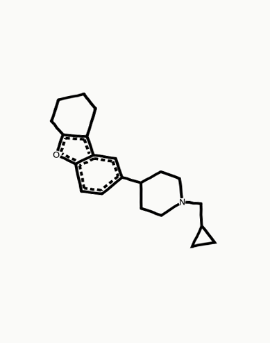 c1cc2oc3c(c2cc1C1CCN(CC2CC2)CC1)CCCC3